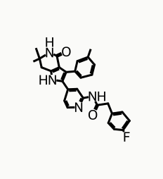 Cc1cccc(-c2c(-c3ccnc(NC(=O)Cc4ccc(F)cc4)c3)[nH]c3c2C(=O)NC(C)(C)C3)c1